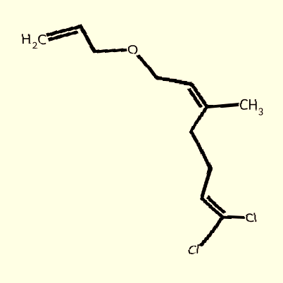 C=CCOCC=C(C)CCC=C(Cl)Cl